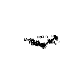 CCc1cc(Nc2nccn3c(-c4ccc(OC)c(F)c4Cl)cnc23)ccc1C(=O)NCCNC(=O)[C@H](N)CCCNC(=N)N.O=CO